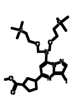 COC(=O)C1CCC(c2cc(N(COCC[Si](C)(C)C)COCC[Si](C)(C)C)n3ncc(I)c3n2)C1